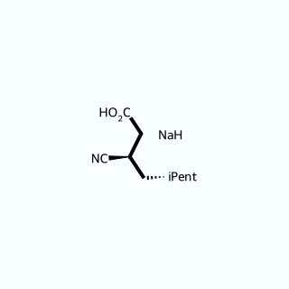 CCC[C@@H](C)C[C@@H](C#N)CC(=O)O.[NaH]